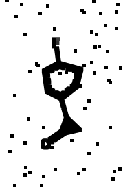 O=c1cc1-c1ccc(F)cc1